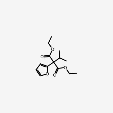 CCOC(=O)C(C(=O)OCC)(c1ccco1)C(C)C